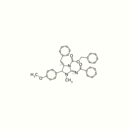 COc1ccc(C2/C(=C/c3ccccc3)N(C(=O)OCc3ccccc3)/C(=N\C(=O)c3ccccc3)N2C)cc1